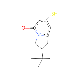 CC(C)(C)C1Cc2cc(S)cc(=O)n2C1